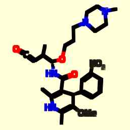 COC1=C(C)NC(C)=C(C(=O)N[C@@H](OCCCN2CCN(C)CC2)C(C)C=C=O)[C@H]1c1cccc([N+](=O)[O-])c1